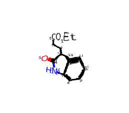 CCOC(=O)CCC1C(=O)Nc2ccccc21